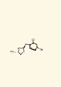 CCCC[C@H]1CSC(=Nc2ccc(C#N)cc2CC)N1